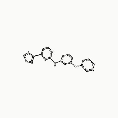 c1cncc(Oc2cccc(Nc3nccc(-c4nccs4)n3)c2)c1